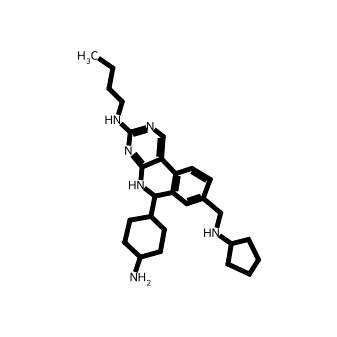 CCCCNc1ncc2c(n1)NC(C1CCC(N)CC1)c1cc(CNC3CCCC3)ccc1-2